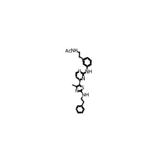 CC(=O)NCCc1cccc(Nc2nccc(-c3sc(NCCc4ccccc4)nc3C)n2)c1